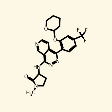 CN1CCC(Nc2nnc(-c3ccc(C(F)(F)F)cc3OC3CCCCO3)c3ccncc23)C1=O